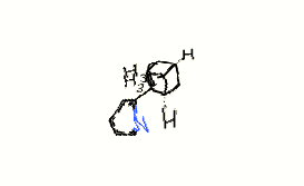 CC1(C)[C@H]2CC=C(c3ccccn3)[C@@H]1C2